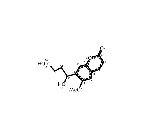 COc1cc2ccc(=O)oc2cc1C(O)CCC(=O)O